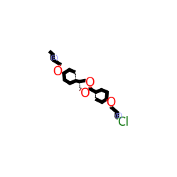 C/C=C/CO[C@H]1CC[C@H]([C@H]2CO[C@H]([C@H]3CC[C@H](OC/C=C/Cl)CC3)OC2)CC1